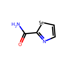 NC(=O)c1ncc[se]1